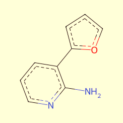 Nc1ncccc1-c1ccco1